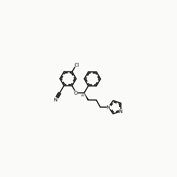 N#Cc1ccc(Cl)cc1O[C@H](CCCn1ccnc1)c1ccccc1